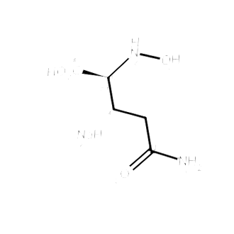 NC(=O)CC[C@H](NO)C(=O)O.[NaH]